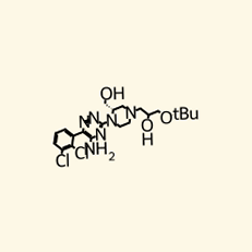 CC(C)(C)OCC(O)CN1CCN(c2nnc(-c3cccc(Cl)c3Cl)c(N)n2)[C@H](CO)C1